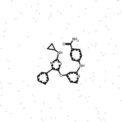 NC(=O)c1ccc(Nc2cc(Oc3sc(NC4CC4)nc3-c3ccccc3)ccn2)cc1